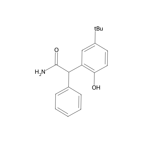 CC(C)(C)c1ccc(O)c(C(C(N)=O)c2ccccc2)c1